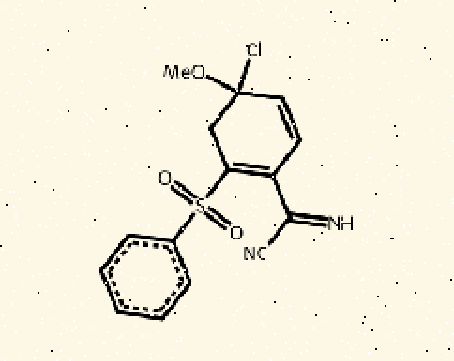 COC1(Cl)C=CC(C(=N)C#N)=C(S(=O)(=O)c2ccccc2)C1